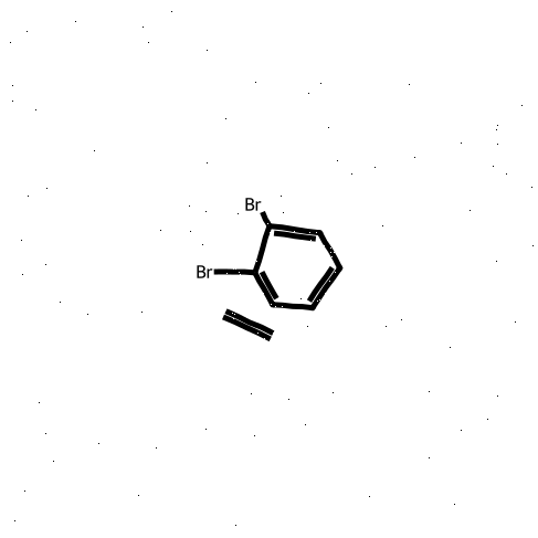 Brc1ccccc1Br.C=C